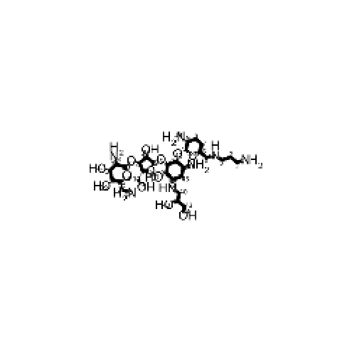 NCCCNCC1=CC[C@@H](N)[C@@H](O[C@H]2[C@H](O[C@@H]3O[C@H](CO)[C@@H](O[C@H]4O[C@@H](CN)[C@@H](O)[C@H](O)[C@H]4N)[C@H]3O)[C@@H](O)[C@H](NCC(O)CO)C[C@@H]2N)O1